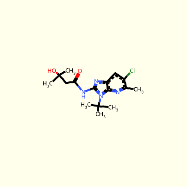 Cc1nc2c(cc1Cl)nc(NC(=O)CC(C)(C)O)n2C(C)(C)C